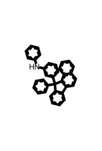 c1ccc(Nc2cccc(C3(c4ccccc4)c4ccccc4-c4ccc5ccccc5c43)c2)cc1